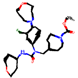 CC(C)(C)OC(=O)N1CCC(CN(C(=O)NC2CCOCC2)c2ccc(N3CCOCC3)c(F)c2)CC1